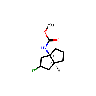 CC(C)(C)OC(=O)N[C@@]12CCC[C@H]1CC(F)C2